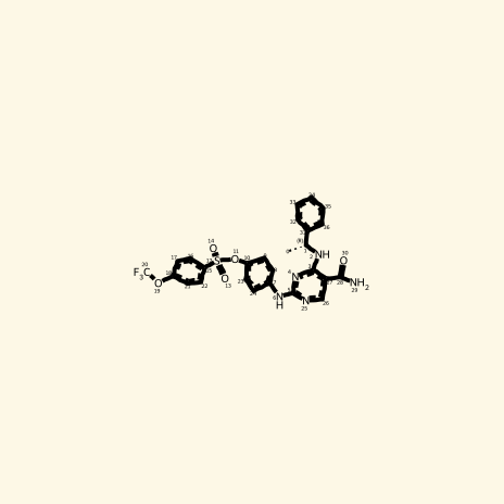 C[C@@H](Nc1nc(Nc2ccc(OS(=O)(=O)c3ccc(OC(F)(F)F)cc3)cc2)ncc1C(N)=O)c1ccccc1